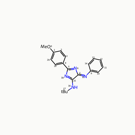 COc1ccc(C2=N/C(=N\c3ccccc3)C(NC(C)(C)C)=N2)cc1